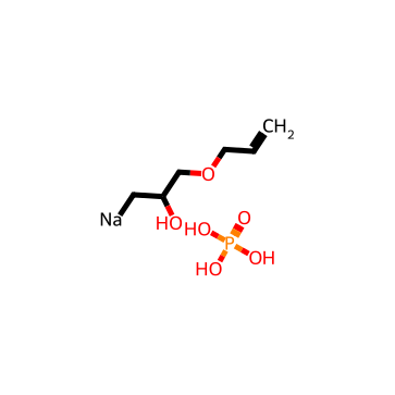 C=CCOCC(O)[CH2][Na].O=P(O)(O)O